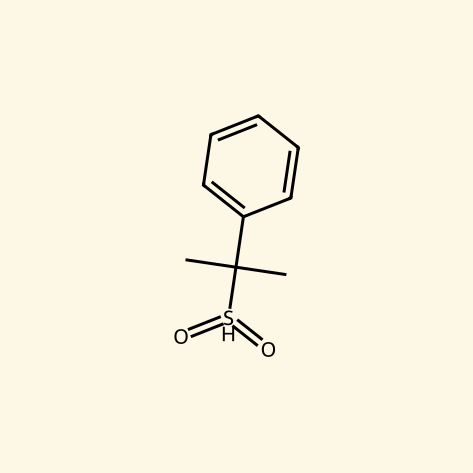 CC(C)(c1ccccc1)[SH](=O)=O